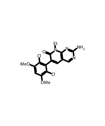 CCn1c(=O)c(-c2c(Cl)c(OC)cc(OC)c2Cl)cc2cnc(N)nc21